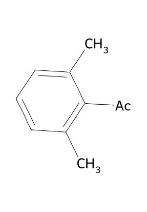 [CH2]C(=O)c1c(C)cccc1C